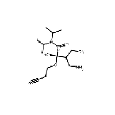 CC(C)N(C(C)C)[PH](=O)[C@@](O)(OCCC#N)C(CN)CO